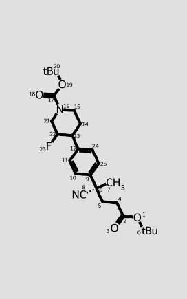 CC(C)(C)OC(=O)CC[C@@](C)(C#N)c1ccc(C2CCN(C(=O)OC(C)(C)C)CC2F)cc1